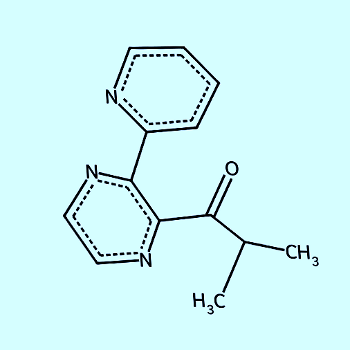 CC(C)C(=O)c1nccnc1-c1ccccn1